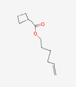 C=CCCCCOC(=O)C1CCC1